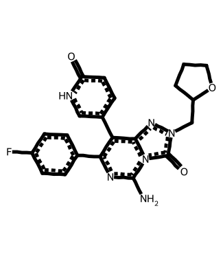 Nc1nc(-c2ccc(F)cc2)c(-c2ccc(=O)[nH]c2)c2nn(CC3CCCO3)c(=O)n12